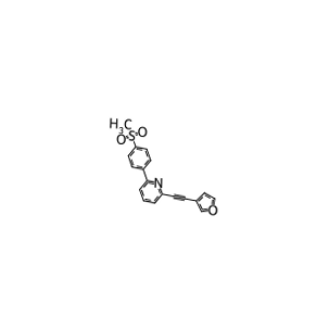 CS(=O)(=O)c1ccc(-c2cccc(C#Cc3ccoc3)n2)cc1